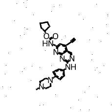 C#Cc1cc(NC(=O)OC2CCCC2)nc2nc(Nc3ccc(N4CCN(C)CC4)cc3)ncc12